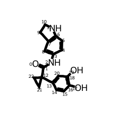 O=C(Nc1ccc2c(c1)CCN2)C1(c2ccc(O)c(O)c2)CC1